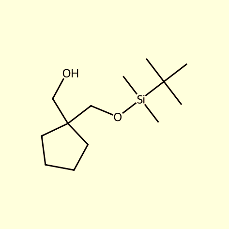 CC(C)(C)[Si](C)(C)OCC1(CO)CCCC1